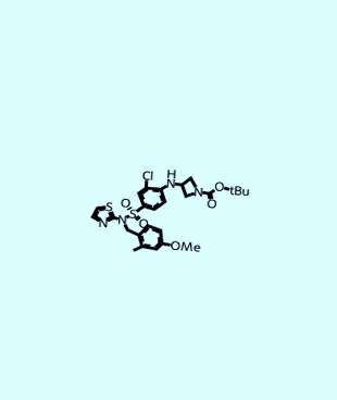 COc1ccc(CN(c2nccs2)S(=O)(=O)c2ccc(NC3CN(C(=O)OC(C)(C)C)C3)c(Cl)c2)c(C)c1